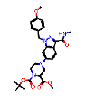 CNC(=O)c1nn(Cc2ccc(OC)cc2)c2cc(N3CCN(C(=O)OC(C)(C)C)C(C(=O)OC)C3)ccc12